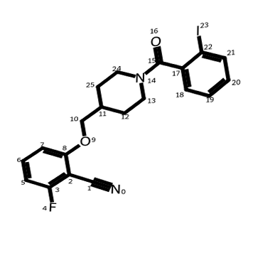 N#Cc1c(F)cccc1OCC1CCN(C(=O)c2ccccc2I)CC1